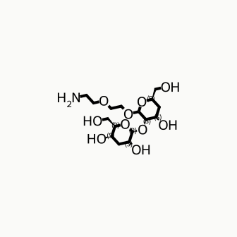 NCCOCCOC1O[C@@H](CO)C[C@H](O)[C@@H]1O[C@H]1O[C@H](CO)[C@@H](O)C[C@@H]1O